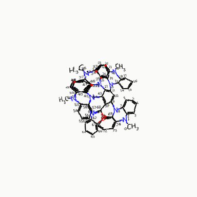 CN1c2ccccc2N(c2cc(N3c4ccccc4N(C)c4ccccc43)c(N3c4ccccc4N(C)c4ccccc43)c(N3c4ccccc4N(C)c4ccccc43)c2-c2nc3ccccc3o2)c2ccccc21